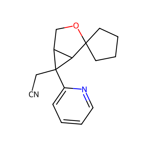 N#CCC1(c2ccccn2)C2COC3(CCCC3)C21